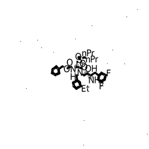 CCCC(CCC)S(=O)(=O)C[C@H](NC(=O)OCc1ccccc1)C(=O)N(Cc1cccc(CC)c1)C[C@@H](O)[C@@H](N)Cc1cc(F)cc(F)c1